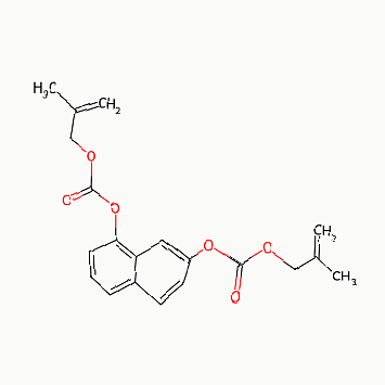 C=C(C)COC(=O)Oc1ccc2cccc(OC(=O)OCC(=C)C)c2c1